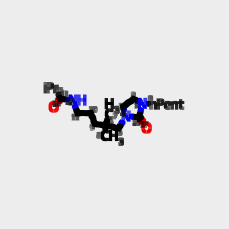 CCCCCN1CCN(CC(C)(C)CCCNC(=O)C(C)C)C1=O